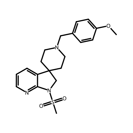 COc1ccc(CN2CCC3(CC2)CN(S(C)(=O)=O)c2ncccc23)cc1